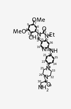 CCN1C(=O)N(c2cc(OC)cc(OC)c2C)Cc2cnc(Nc3ccc(N4CCN(C(=O)CN)CC4)cc3)cc21